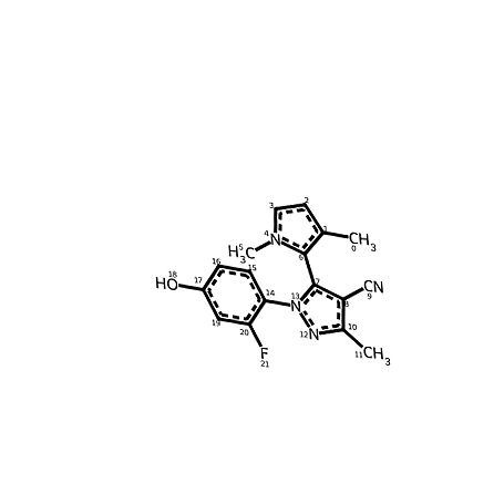 Cc1ccn(C)c1-c1c(C#N)c(C)nn1-c1ccc(O)cc1F